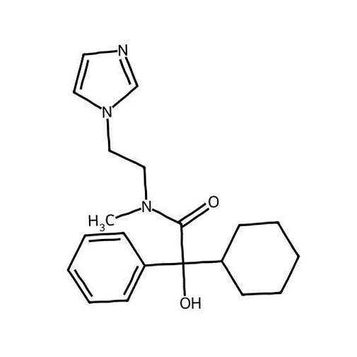 CN(CCn1ccnc1)C(=O)C(O)(c1ccccc1)C1CCCCC1